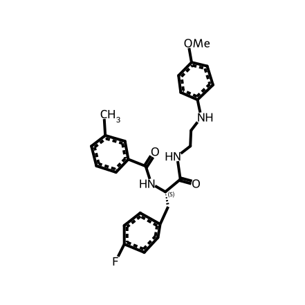 COc1ccc(NCCNC(=O)[C@H](Cc2ccc(F)cc2)NC(=O)c2cccc(C)c2)cc1